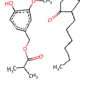 CCCCCCC1CCCC1=O.COc1cc(COC(=O)C(C)C)ccc1O